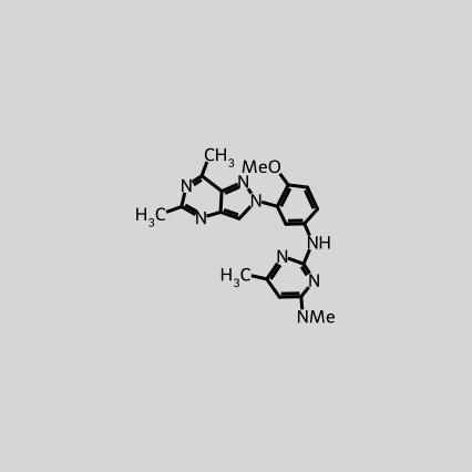 CNc1cc(C)nc(Nc2ccc(OC)c(-n3cc4nc(C)nc(C)c4n3)c2)n1